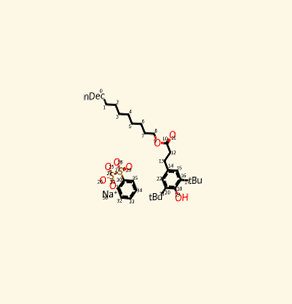 CCCCCCCCCCCCCCCCCCOC(=O)CCc1cc(C(C)(C)C)c(O)c(C(C)(C)C)c1.O=S(=O)([O-])S(=O)(=O)c1ccccc1.[Na+]